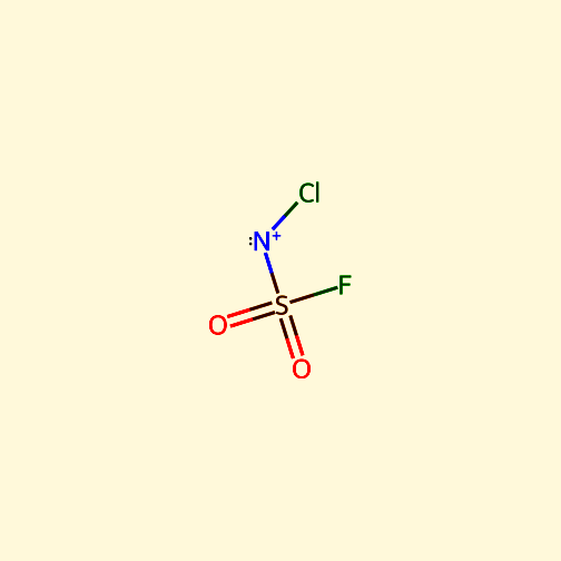 O=S(=O)(F)[N+]Cl